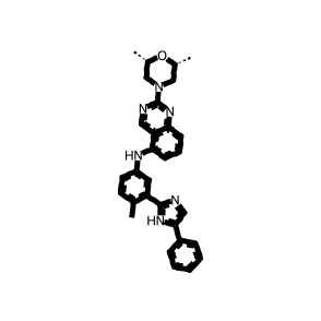 Cc1ccc(Nc2cccc3nc(N4C[C@@H](C)O[C@@H](C)C4)ncc23)cc1-c1ncc(-c2ccccc2)[nH]1